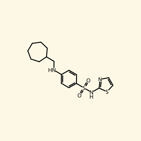 O=S(=O)(Nc1nccs1)c1ccc(NCC2CCCCCC2)cc1